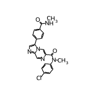 CNC(=O)c1ccc(-c2cnc3cnc(C(=O)N(C)c4ccc(Cl)cc4)cn23)cc1